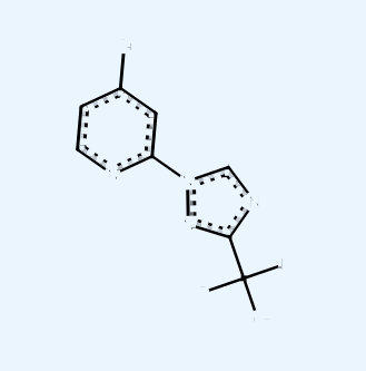 FC(F)(F)C(F)(F)c1n[c]n(-c2cc(Br)ccn2)n1